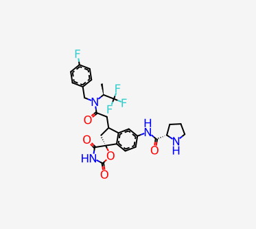 C[C@H](N(Cc1ccc(F)cc1)C(=O)CC1C[C@@]2(OC(=O)NC2=O)c2ccc(NC(=O)[C@@H]3CCCN3)cc21)C(F)(F)F